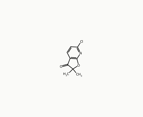 CC1(C)Oc2nc(Cl)ccc2C1=O